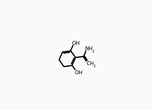 C=C(N)C1=C(O)CCC=C1O